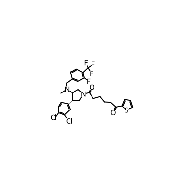 CN(Cc1ccc(C(F)(F)F)c(F)c1)C1CN(C(=O)CCCCC(=O)c2cccs2)C[C@@H]1c1ccc(Cl)c(Cl)c1